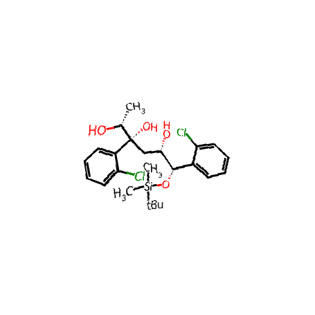 C[C@@H](O)[C@@](O)(C[C@H](O)[C@@H](O[Si](C)(C)C(C)(C)C)c1ccccc1Cl)c1ccccc1Cl